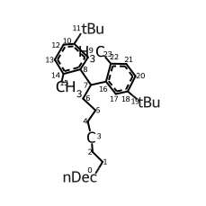 CCCCCCCCCCCCCCCCC(c1cc(C(C)(C)C)ccc1C)c1cc(C(C)(C)C)ccc1C